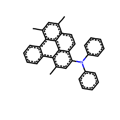 Cc1cc(C)c2c3ccccc3c3c(C)cc(N(c4ccccc4)c4ccccc4)c4ccc1c2c43